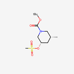 C[C@@H]1C[C@H](OS(C)(=O)=O)CN(C(=O)OC(C)(C)C)C1